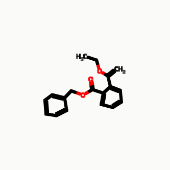 C=C(OCC)c1ccccc1C(=O)OCc1ccccc1